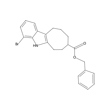 O=C(OCc1ccccc1)C1CCCc2c([nH]c3c(Br)cccc23)CC1